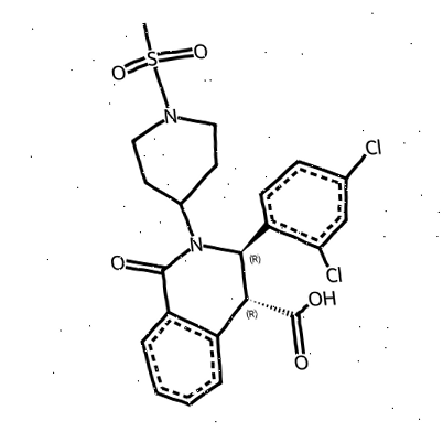 CS(=O)(=O)N1CCC(N2C(=O)c3ccccc3[C@@H](C(=O)O)[C@@H]2c2ccc(Cl)cc2Cl)CC1